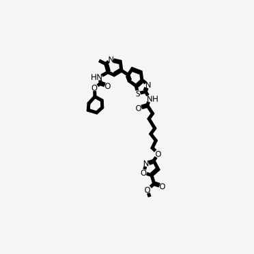 COC(=O)c1cc(OCCCCCCC(=O)Nc2nc3ccc(-c4cnc(C)c(NC(=O)OC5CCCCC5)c4)cc3s2)no1